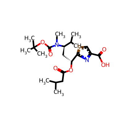 CC(C)CC(=O)O[C@H](C[C@H](C(C)C)N(C)C(=O)OC(C)(C)C)c1nc(C(=O)O)cs1